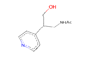 CC(=O)NCC(CO)c1ccncc1